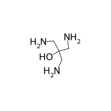 NCC(O)(CN)CN